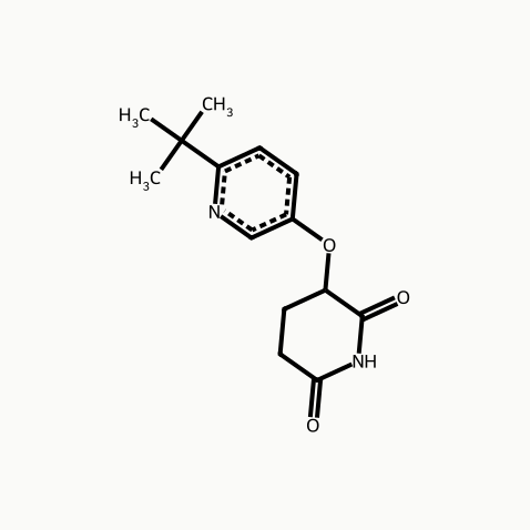 CC(C)(C)c1ccc(OC2CCC(=O)NC2=O)cn1